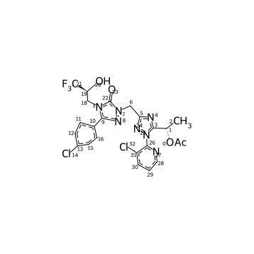 CC(=O)O[C@@H](C)c1nc(Cn2nc(-c3ccc(Cl)cc3)n(C[C@H](O)C(F)(F)F)c2=O)nn1-c1ncccc1Cl